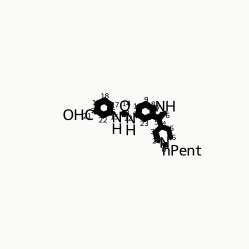 CCCCCN1C=CC(c2c[nH]c3ccc(NC(=O)Nc4cccc(C=O)c4)cc23)CC1